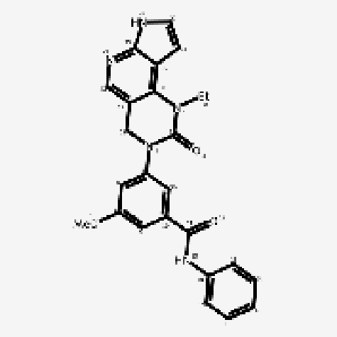 CCN1C(=O)N(c2cc(OC)cc(C(=O)Nc3ccccc3)c2)Cc2cnc3[nH]ccc3c21